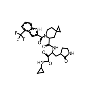 O=C(NC1CC1)C(=O)C(CC1CCNC1=O)NC(=O)C1CC2(CCN1C(=O)c1cc3c(C(F)(F)F)cccc3[nH]1)CC2